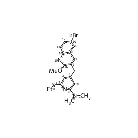 CCSc1cc(Cc2cc3cc(Br)ccc3nc2OC)cc(N(C)C)n1